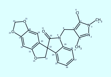 Cc1nn(C)c(Cl)c1CN1C(=O)C2(COc3cc4c(cc32)OCO4)c2ccccc21